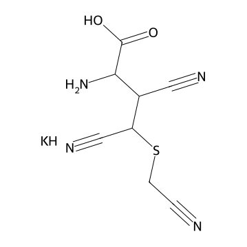 N#CCSC(C#N)C(C#N)C(N)C(=O)O.[KH]